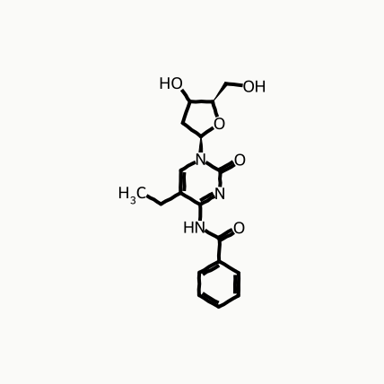 CCc1cn([C@H]2CC(O)[C@@H](CO)O2)c(=O)nc1NC(=O)c1ccccc1